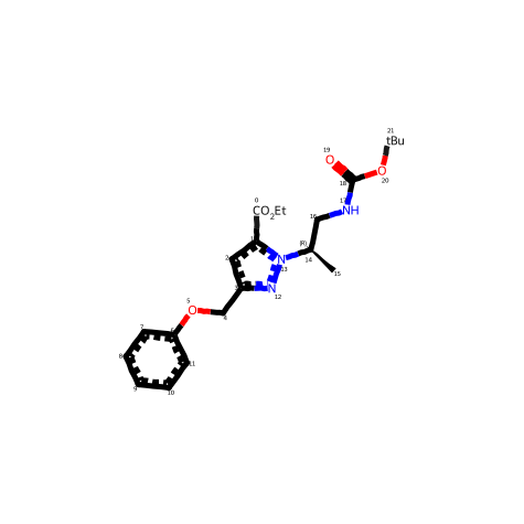 CCOC(=O)c1cc(COc2ccccc2)nn1[C@H](C)CNC(=O)OC(C)(C)C